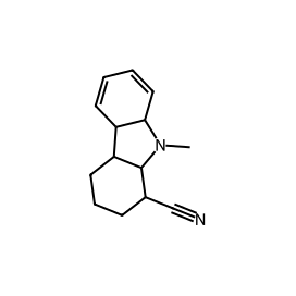 CN1C2C=CC=CC2C2CCCC(C#N)C21